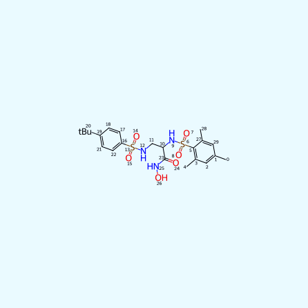 Cc1cc(C)c(S(=O)(=O)NC(CNS(=O)(=O)c2ccc(C(C)(C)C)cc2)C(=O)NO)c(C)c1